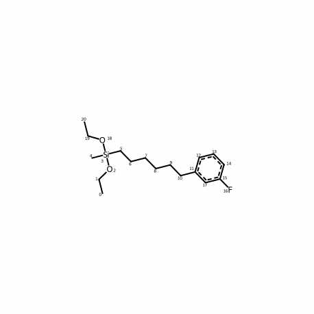 CCO[Si](C)(CCCCCCc1cccc(F)c1)OCC